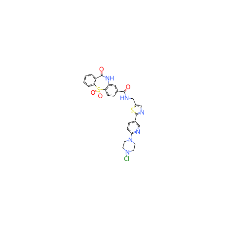 O=C(NCc1cnc(-c2ccc(N3CCN(Cl)CC3)nc2)s1)c1ccc2c(c1)NC(=O)c1ccccc1S2(=O)=O